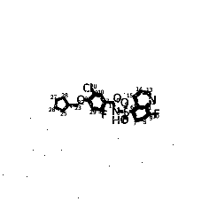 O=C(NS(=O)(=O)c1ccc(F)c2ncccc12)c1cc(Cl)c(OCC2CCCC2)cc1F